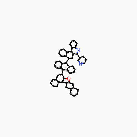 c1cncc(-c2nc3ccccc3c3c2cc(-c2c4ccccc4c(-c4cc5ccccc5c5c4oc4cc6ccccc6cc45)c4ccccc24)c2ccccc23)c1